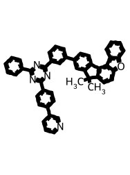 CC1(C)c2cc(-c3cccc(-c4nc(-c5ccccc5)nc(-c5ccc(-c6cccnc6)cc5)n4)c3)ccc2-c2c1ccc1oc3ccccc3c21